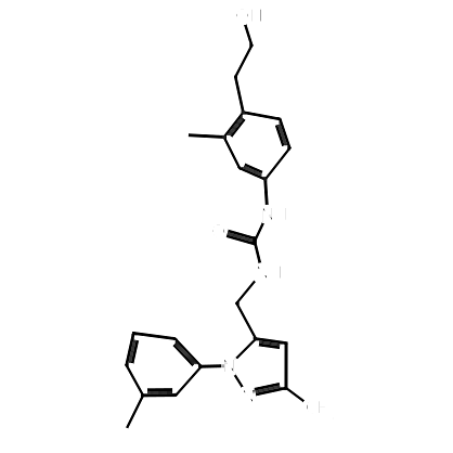 O=C(NCc1cc(C(F)(F)F)nn1-c1cccc(F)c1)Nc1ccc(CCO)c(F)c1